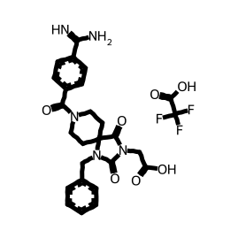 N=C(N)c1ccc(C(=O)N2CCC3(CC2)C(=O)N(CC(=O)O)C(=O)N3Cc2ccccc2)cc1.O=C(O)C(F)(F)F